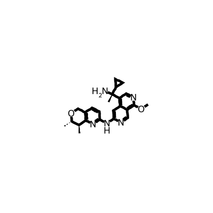 COc1ncc([C@](C)(N)C2CC2)c2cc(Nc3ccc4c(n3)[C@@H](C)[C@H](C)OC4)ncc12